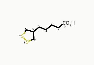 O=C(O)CCCCC1CSSC1